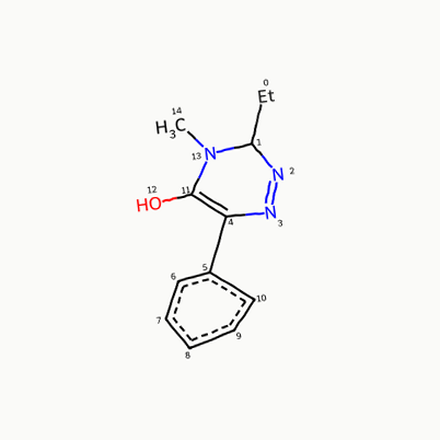 CCC1N=NC(c2ccccc2)=C(O)N1C